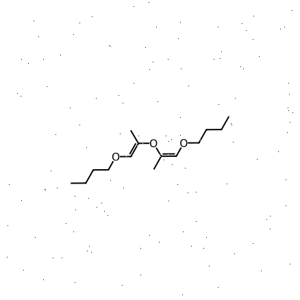 CCCCOC=C(C)OC(C)=COCCCC